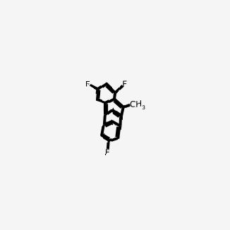 Cc1c2[c]c(c3cc(F)cc2c3)c2cc(F)cc(F)c12